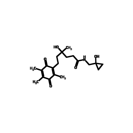 CC1=C(C)C(=O)C(CCC(C)(O)CCC(=O)NCC2(O)CC2)=C(C)C1=O